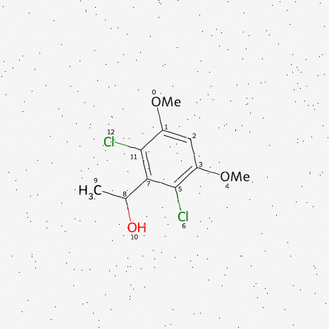 COc1cc(OC)c(Cl)c(C(C)O)c1Cl